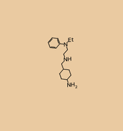 CCN(CCNCC1CCC(N)CC1)c1ccccc1